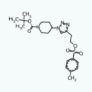 Cc1ccc(S(=O)(=O)OCCc2cn(C3CCN(C(=O)OC(C)(C)C)CC3)nn2)cc1